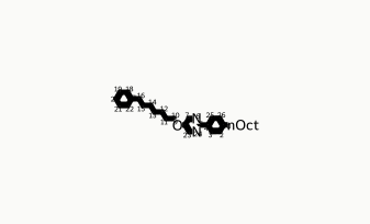 CCCCCCCCc1ccc(-c2ncc(OCCCCCCCc3ccccc3)cn2)cc1